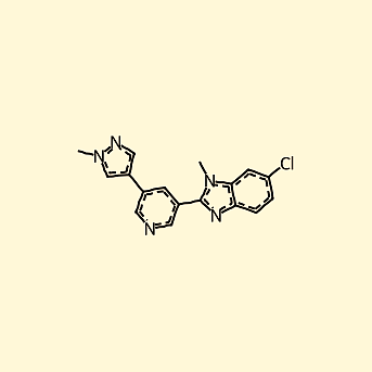 Cn1cc(-c2cncc(-c3nc4ccc(Cl)cc4n3C)c2)cn1